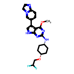 COc1nc(N[C@H]2CC[C@@H](OCC(F)F)CC2)nc2[nH]cc(-c3ccc4nccn4c3)c12